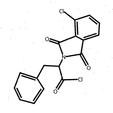 O=C(Cl)C(Cc1ccccc1)N1C(=O)c2cccc(Cl)c2C1=O